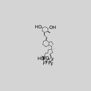 C=C1/C(=C\C=C2/CCC[C@@]3(C)C2CC[C@@H]3[C@@](C)(C/C=C/C(O)(C(F)(F)F)C(F)(F)F)CCCC(C)(C)O)C[C@@H](O)C[C@@H]1O